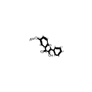 COc1ccc2oc(-c3ccccc3)c(O)c(=O)c2c1